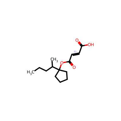 CCCC(C)C1(OC(=O)/C=C/C(=O)O)CCCC1